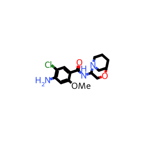 COc1cc(N)c(Cl)cc1C(=O)NC1COC2CCCN1C2